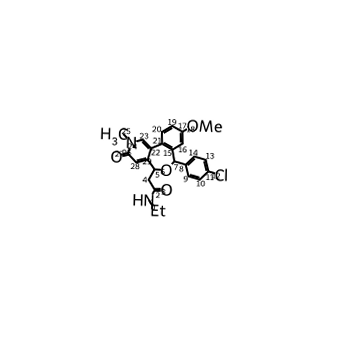 CCNC(=O)CC1OC(c2ccc(Cl)cc2)c2cc(OC)ccc2-c2cn(C)c(=O)cc21